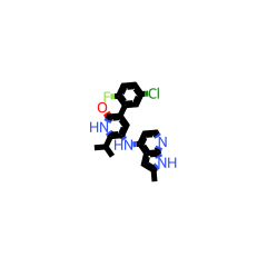 Cc1cc2c(Nc3cc(-c4cc(Cl)ccc4F)c(=O)[nH]c3C(C)C)ccnc2[nH]1